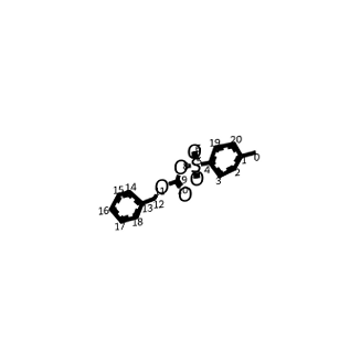 Cc1ccc(S(=O)(=O)OC(=O)OCc2ccccc2)cc1